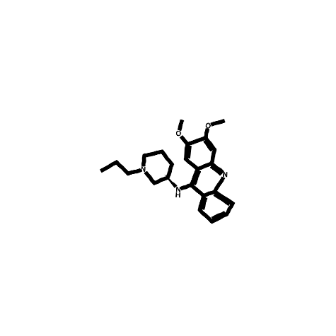 CCCN1CCC[C@@H](Nc2c3ccccc3nc3cc(OC)c(OC)cc23)C1